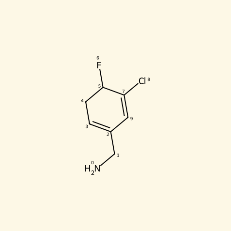 NCC1=CCC(F)C(Cl)=C1